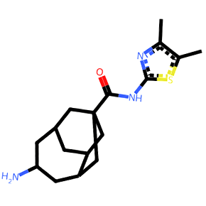 Cc1nc(NC(=O)C23CC4CC(N)CC(C2)C(C4)C3)sc1C